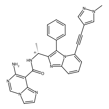 C[C@@H](NC(=O)c1c(N)ncn2ccnc12)c1nc2cccc(C#Cc3cnn(C)c3)n2c1-c1ccccc1